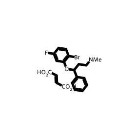 CNCCC(Oc1cc(F)ccc1Br)c1ccccc1.O=C(O)C=CC(=O)O